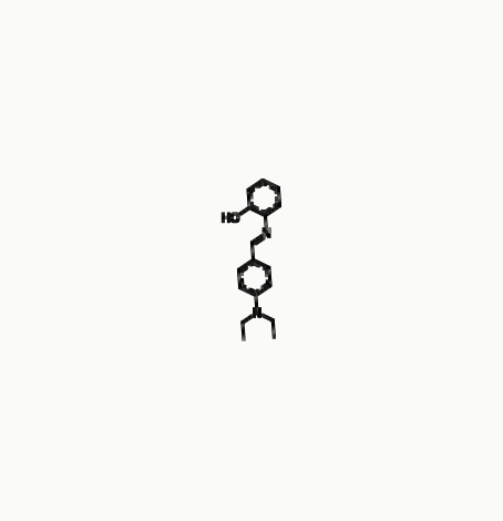 CCN(CC)c1ccc(/C=N/c2ccccc2O)cc1